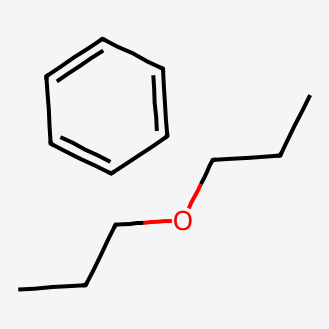 CCCOCCC.c1ccccc1